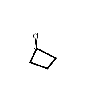 Cl[C]1CCC1